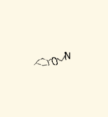 CC1CCC(COCCC#N)CC1